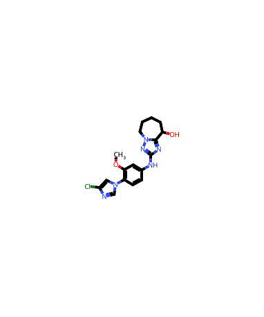 COc1cc(Nc2nc3n(n2)CCCCC3O)ccc1-n1cnc(Cl)c1